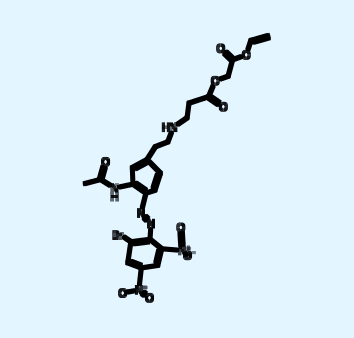 C=COC(=O)COC(=O)CCNCCc1ccc(N=Nc2c(Br)cc([N+](=O)[O-])cc2[N+](=O)[O-])c(NC(C)=O)c1